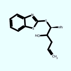 C=CC[C](O)[C@H](CCC)Sc1nc2ccccc2s1